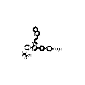 O=C(O)C(F)(F)F.O=C(O)C1CCN(c2ccc(-c3cnc(N4CCOCC4)c4nc(C=Cc5ccc6ccccc6n5)cn34)cc2)CC1